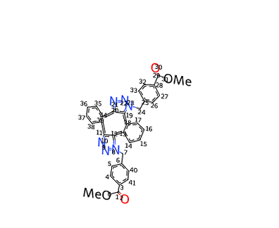 COC(=O)c1ccc(Cn2nnc3/c2=c2/cccc/c2=c2/c(nnn2Cc2ccc(C(=O)OC)cc2)=c2/cccc/c2=3)cc1